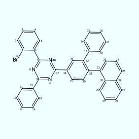 Brc1ccccc1-c1nc(-c2ccccc2)nc(-c2ccc(-c3cccc4ccccc34)c(-c3ccccc3)c2)n1